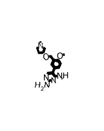 CNc1nc(N)ncc1-c1ccc(OC)c(COC2CCN(C)C2)c1